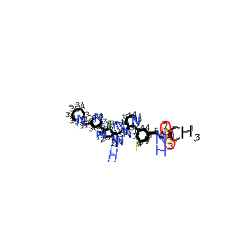 CS(=O)(=O)NCc1cc(F)cc(-c2nccc3[nH]c(-c4n[nH]c5cnc(-c6cncc(CN7CCCCC7)c6)c(F)c45)nc23)c1